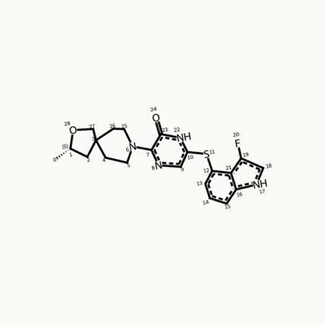 C[C@H]1CC2(CCN(c3ncc(Sc4cccc5[nH]cc(F)c45)[nH]c3=O)CC2)CO1